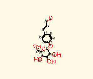 O=C/C=C/c1ccc(O[C@@H]2OC(CO)[C@H](O)C(O)[C@@H]2O)cc1